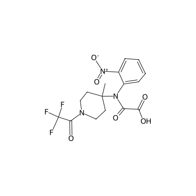 CC1(N(C(=O)C(=O)O)c2ccccc2[N+](=O)[O-])CCN(C(=O)C(F)(F)F)CC1